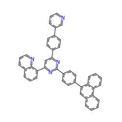 c1cncc(-c2ccc(-c3cc(-c4cccc5cccnc45)nc(-c4ccc(-c5cc6ccccc6c6ccccc56)cc4)n3)cc2)c1